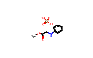 COC(=O)CNc1ccccc1.O=S(=O)(O)O